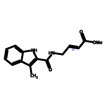 COC(=O)/C=C/CNC(=O)c1[nH]c2ccccc2c1C